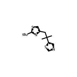 CC(C)(C)c1nc(CC(C)(C)c2cncs2)cs1